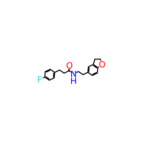 O=C(CCc1ccc(F)cc1)NCCc1ccc2c(c1)CCO2